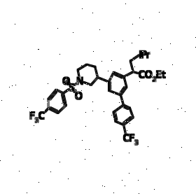 CCOC(=O)C(CC(C)C)c1cc(-c2ccc(C(F)(F)F)cc2)cc(C2CCCN(S(=O)(=O)c3ccc(C(F)(F)F)cc3)C2)c1